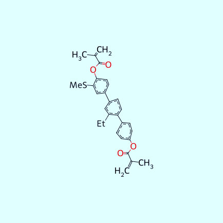 C=C(C)C(=O)Oc1ccc(-c2ccc(-c3ccc(OC(=O)C(=C)C)c(SC)c3)cc2CC)cc1